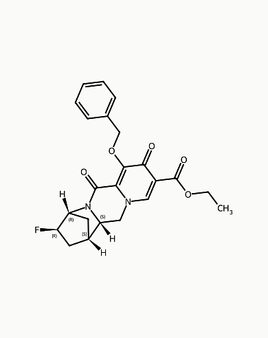 CCOC(=O)c1cn2c(c(OCc3ccccc3)c1=O)C(=O)N1[C@H](C2)[C@@H]2C[C@@H](F)[C@H]1C2